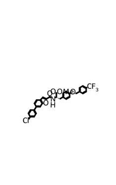 COC(=O)[C@H](Cc1ccc(OCc2ccc(C(F)(F)F)cc2)cc1)NC(=O)c1cc2ccc(-c3ccc(Cl)cc3)cc2o1